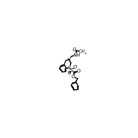 CC(=O)NC[C@@H]1Cc2ccccc2N(S(=O)(=O)C(=O)OCc2ccccc2)C1